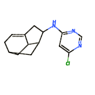 Clc1cc(NC2CC3=CCC4CC3C2C4)ncn1